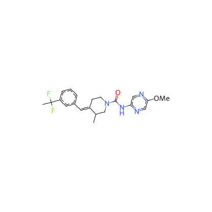 COc1cnc(NC(=O)N2CCC(=Cc3cccc(C(C)(F)F)c3)C(C)C2)cn1